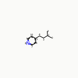 CC(C)CCc1ccncc1